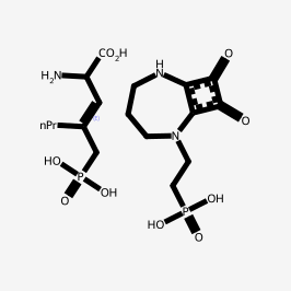 CCC/C(=C\C(N)C(=O)O)CP(=O)(O)O.O=c1c2c(c1=O)N(CCP(=O)(O)O)CCCN2